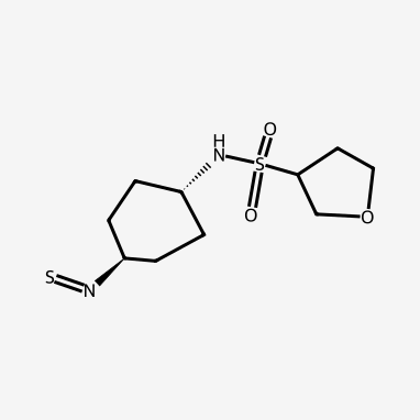 O=S(=O)(N[C@H]1CC[C@H](N=S)CC1)C1CCOC1